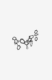 O=c1c2cc(-n3c(-c4ccccc4)nc4ccccc43)ccc2n2c3ccc(-n4c(-c5ccccc5)nc5ccccc54)cc3c(=O)n12